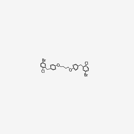 Clc1ccc(Br)cc1Cc1ccc(OCCCCOc2ccc(Cc3cc(Br)ccc3Cl)cc2)cc1